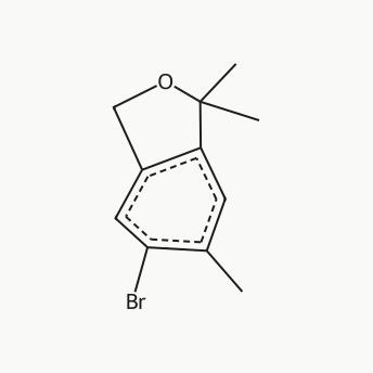 Cc1cc2c(cc1Br)COC2(C)C